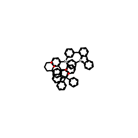 c1ccc(-n2c3ccccc3c3cccc(-c4cccc(N(c5ccccc5-c5cccc6cccc(C7CCCCC7)c56)c5cccc6c5-c5ccccc5C6(c5ccccc5)c5ccccc5)c4)c32)cc1